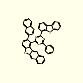 c1ccc(-c2nc(-c3cccc4c3oc3ccccc34)nc(-c3c(-c4ccc5ccccc5c4)ccc4oc5cc6ccccc6cc5c34)n2)cc1